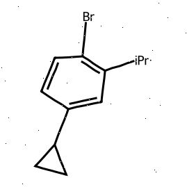 C[C](C)c1cc(C2CC2)ccc1Br